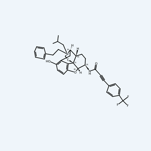 CC(C)C[N+]1(CCc2ccccc2)CC[C@@]23c4c5ccc(O)c4C[C@@H]1[C@@H]2CC[C@@H](NC(=O)C#Cc1ccc(C(F)(F)F)cc1)[C@@H]3O5